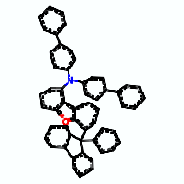 c1ccc(-c2ccc(N(c3ccc(-c4ccccc4)cc3)c3cccc4oc5c(C6(c7ccccc7)c7ccccc7-c7ccccc76)cccc5c34)cc2)cc1